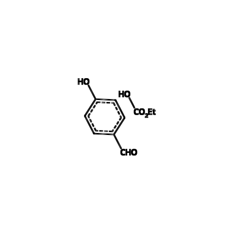 CCOC(=O)O.O=Cc1ccc(O)cc1